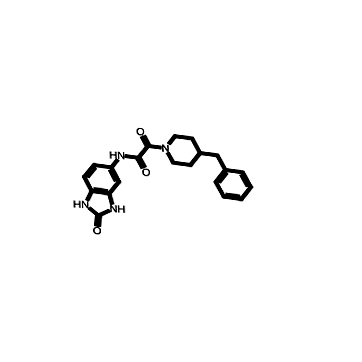 O=C(Nc1ccc2[nH]c(=O)[nH]c2c1)C(=O)N1CCC(Cc2ccccc2)CC1